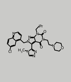 CC(C)Cn1c(=O)n(CCN2CCOCC2)c(=O)c2c(-c3nncn3C)n(Cc3ccnc4ccc(Cl)cc34)nc21